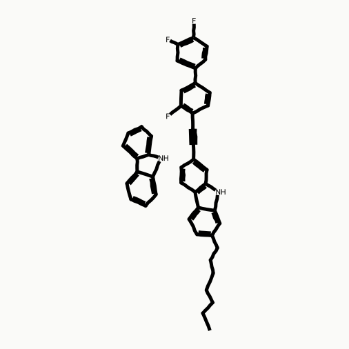 CCCCCCCc1ccc2c(c1)[nH]c1cc(C#Cc3ccc(-c4ccc(F)c(F)c4)cc3F)ccc12.c1ccc2c(c1)[nH]c1ccccc12